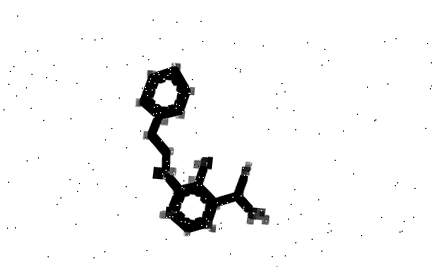 CC(F)c1ncnc(NCCc2ccccc2)c1Cl